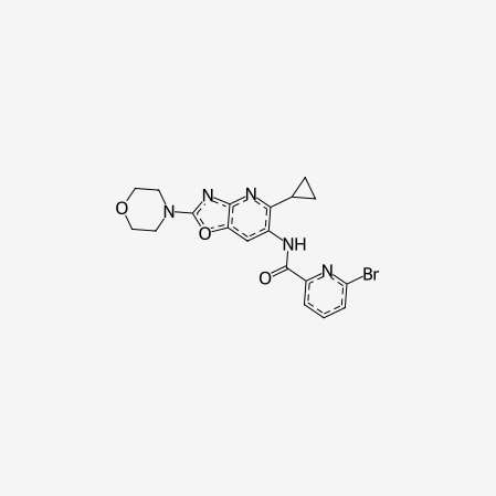 O=C(Nc1cc2oc(N3CCOCC3)nc2nc1C1CC1)c1cccc(Br)n1